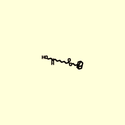 O=C(CCCCCCNCCO)OCCC12CC3CC(CC(C3)C1)C2